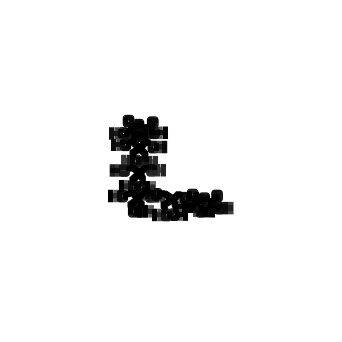 O=P(O)(O)OP(=O)(O)O.O=P(O)(O)OP(=O)(O)O.OCC(CO)(CO)CO.OCC(CO)(CO)CO.OCC(CO)(CO)CO.OCC(CO)(CO)CO